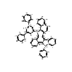 c1ccc(-n2c3ccccc3c3c4c5ccc6ccccc6c5n(-c5cc(-c6ccccn6)nc(-c6ccccn6)c5)c4c4ccccc4c32)cc1